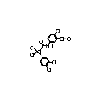 O=Cc1cc(NC(=O)C2[C@H](c3ccc(Cl)c(Cl)c3)C2(Cl)Cl)ccc1Cl